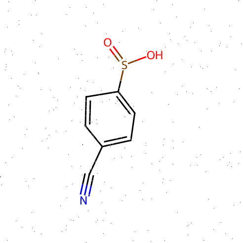 N#Cc1ccc(S(=O)O)cc1